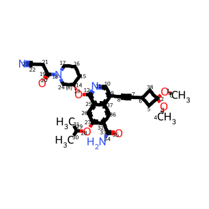 COC1(OC)CC(C#Cc2cnc(O[C@@H]3CCCN(C(=O)CC#N)C3)c3cc(OC(C)C)c(C(N)=O)cc23)C1